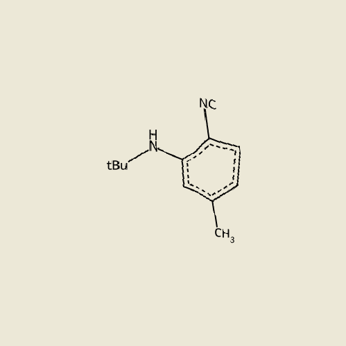 [C-]#[N+]c1ccc(C)cc1NC(C)(C)C